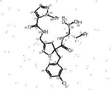 CC(C)C[C@H](NC(=O)C1(Cc2cccc(Cl)c2)CC(CNC(=O)c2ccnn2C(C)C)=NO1)B(O)O